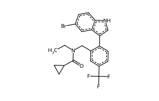 CCN(Cc1cc(C(F)(F)F)ccc1-c1c[nH]c2ccc(Br)cc12)C(=O)C1CC1